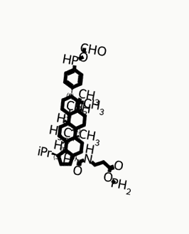 CC(C)[C@@H]1CC[C@]2(C(=O)NCCC(=O)OP)CC[C@]3(C)[C@H](CC[C@@H]4[C@@]5(C)CC[C@H](c6ccc(POC=O)cc6)C(C)(C)[C@@H]5CC[C@]43C)[C@@H]12